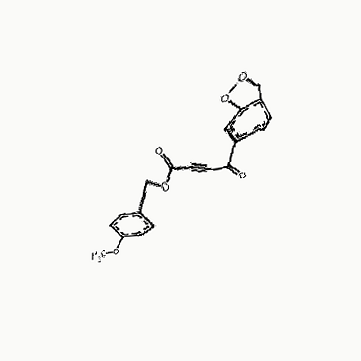 COc1ccc(COC(=O)C#CC(=O)c2ccc3c(c2)OOC3)cc1